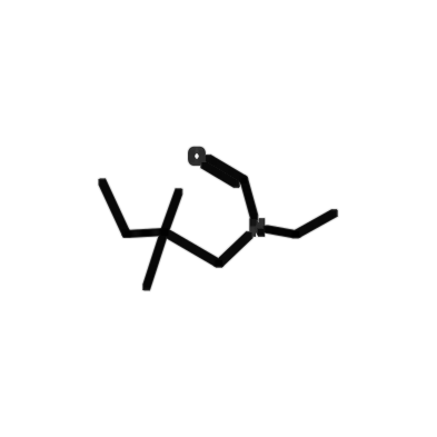 CCN(C=O)CC(C)(C)CC